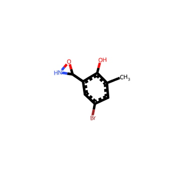 Cc1cc(Br)cc(C2NO2)c1O